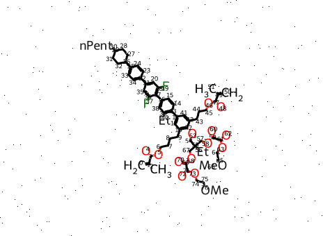 C=C(C)C(=O)OCCCCc1cc(-c2ccc(-c3c(F)cc(-c4ccc(C5CCC(CCCCC)CC5)cc4)cc3F)cc2CC)cc(CCCOC(=O)C(=C)C)c1OCC(CC)(COC(=O)C(=O)OCCOC)COC(=O)C(=O)OCCOC